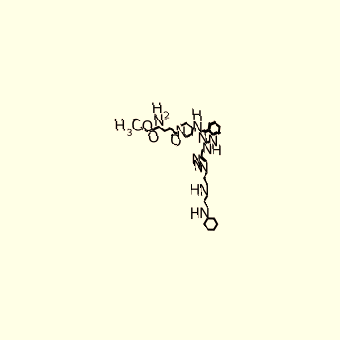 CCOC(=O)[C@@H](N)CCC(=O)N1CCC(Nc2nc(NCc3cn(CCCNCCCNC4CCCCC4)nn3)nc3ccccc23)CC1